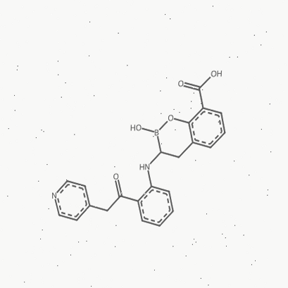 O=C(Cc1ccncc1)c1ccccc1NC1Cc2cccc(C(=O)O)c2OB1O